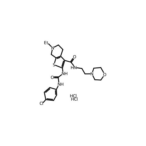 CCN1CCc2c(sc(NC(=O)Nc3ccc(Cl)cc3)c2C(=O)NCCN2CCOCC2)C1.Cl.Cl